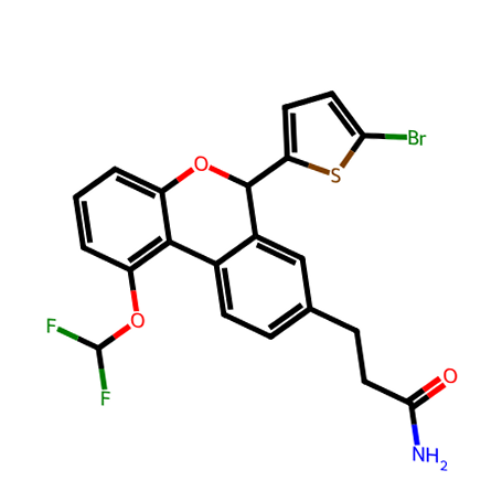 NC(=O)CCc1ccc2c(c1)C(c1ccc(Br)s1)Oc1cccc(OC(F)F)c1-2